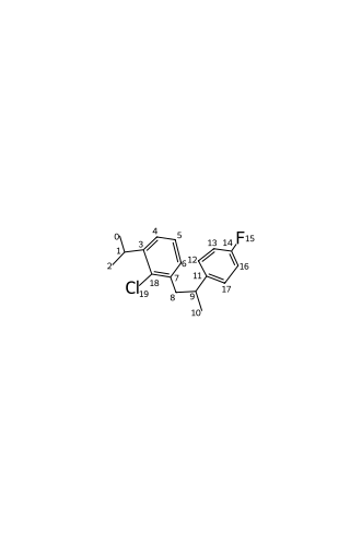 CC(C)c1cccc(CC(C)c2ccc(F)cc2)c1Cl